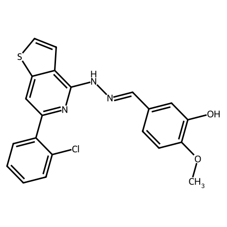 COc1ccc(C=NNc2nc(-c3ccccc3Cl)cc3sccc23)cc1O